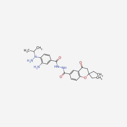 CCC1(CC)CC(=O)c2cc(C(=O)NNC(=O)c3ccc(N(N)C(C)C)c(N)c3)ccc2O1